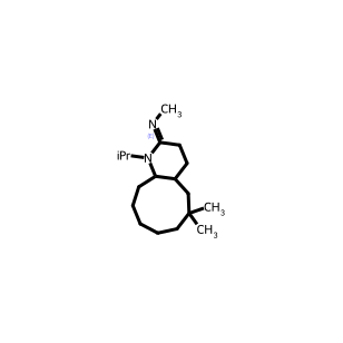 C/N=C1\CCC2CC(C)(C)CCCCCC2N1C(C)C